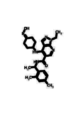 CCn1ncc2c(NC3CCC(=NO)CC3)c(C(=O)NC(C)c3ccc(C)cc3C)cnc21